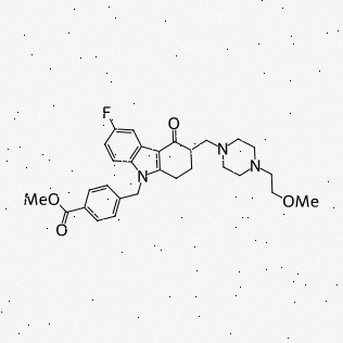 COCCN1CCN(CC2CCc3c(c4cc(F)ccc4n3Cc3ccc(C(=O)OC)cc3)C2=O)CC1